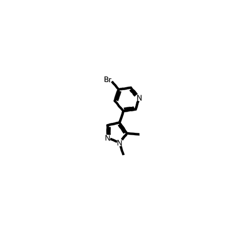 Cc1c(-c2cncc(Br)c2)cnn1C